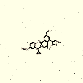 COc1ccnc([C@H](C2CC2)N2CCc3c(cc(CBr)cc3-c3cn(C)nc3C(F)(F)F)C2=O)c1